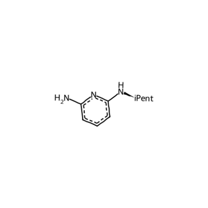 CCC[C@H](C)Nc1cccc(N)n1